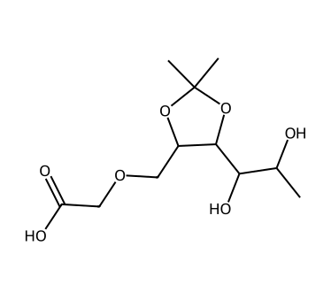 CC(O)C(O)C1OC(C)(C)OC1COCC(=O)O